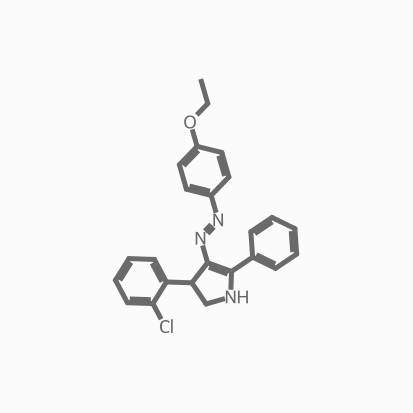 CCOc1ccc(N=NC2=C(c3ccccc3)NCC2c2ccccc2Cl)cc1